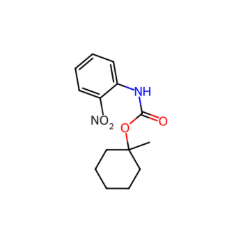 CC1(OC(=O)Nc2ccccc2[N+](=O)[O-])CCCCC1